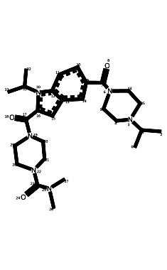 CC(C)N1CCN(C(=O)c2ccc3c(c2)cc(C(=O)N2CCN(C(=O)N(C)C)CC2)n3C(C)C)CC1